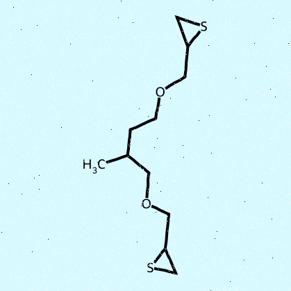 CC(CCOCC1CS1)COCC1CS1